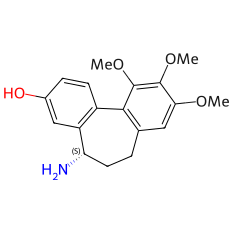 COc1cc2c(c(OC)c1OC)-c1ccc(O)cc1[C@@H](N)CC2